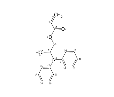 C=CC(=O)OCC(C)N(c1ccccc1)c1ccccc1